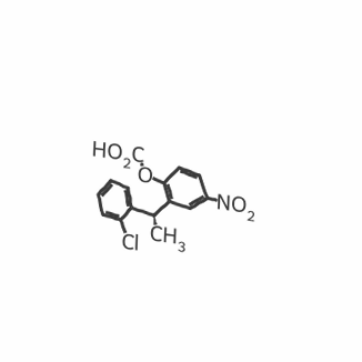 C[C@@H](c1ccccc1Cl)c1cc([N+](=O)[O-])ccc1OC(=O)O